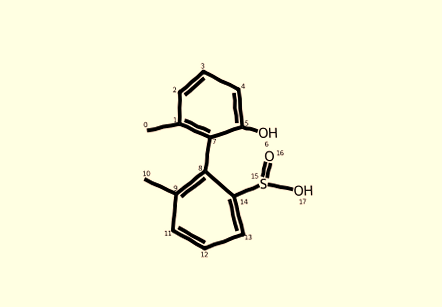 Cc1cccc(O)c1-c1c(C)cccc1S(=O)O